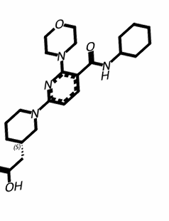 O=C(O)C[C@@H]1CCCN(c2ccc(C(=O)NC3CCCCC3)c(N3CCOCC3)n2)C1